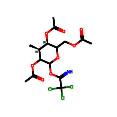 CC(=O)OCC1OC(OC(=N)C(Cl)(Cl)Cl)C(OC(C)=O)[C@@H](C)[C@H]1OC(C)=O